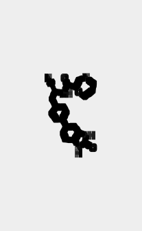 N#C[C@H](Cc1ccc(-c2ccc3[nH]c(=O)[nH]c3c2)cc1)NC(=O)C1=CN=CC=CO1